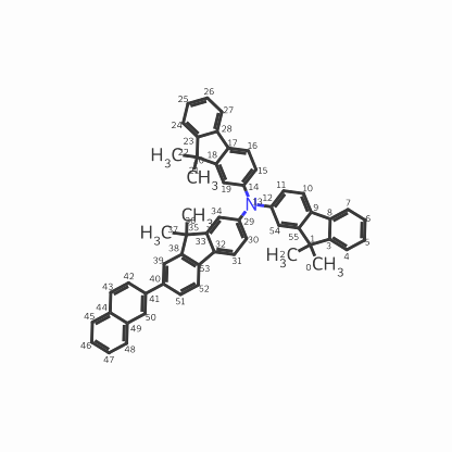 CC1(C)c2ccccc2-c2ccc(N(c3ccc4c(c3)C(C)(C)c3ccccc3-4)c3ccc4c(c3)C(C)(C)c3cc(-c5ccc6ccccc6c5)ccc3-4)cc21